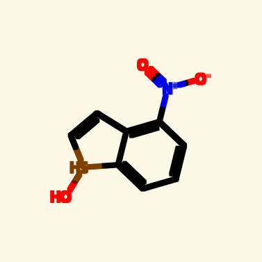 O=[N+]([O-])c1cccc2c1C=C[SH]2O